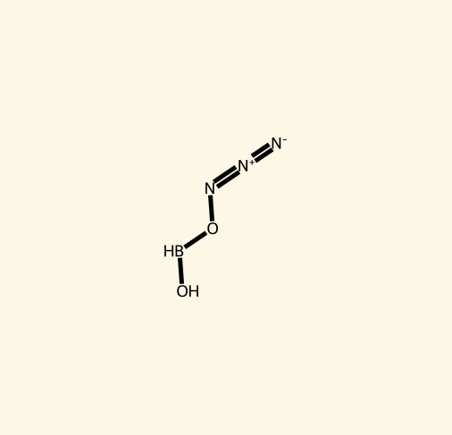 [N-]=[N+]=NOBO